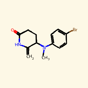 C=C1NC(=O)CCC1N(C)c1ccc(Br)cc1